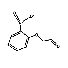 O=CCOc1ccccc1[N+](=O)[O-]